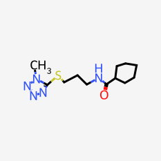 Cn1nnnc1SCCCNC(=O)C1CCCCC1